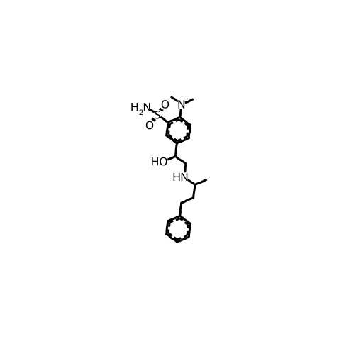 CC(CCc1ccccc1)NCC(O)c1ccc(N(C)C)c(S(N)(=O)=O)c1